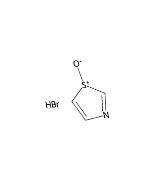 Br.[O-][s+]1ccnc1